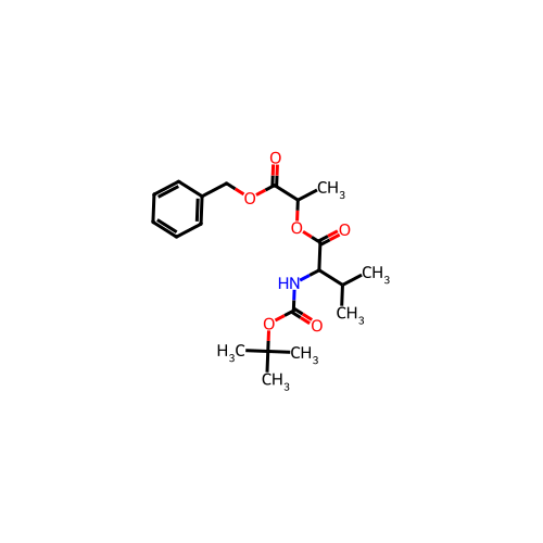 CC(OC(=O)C(NC(=O)OC(C)(C)C)C(C)C)C(=O)OCc1ccccc1